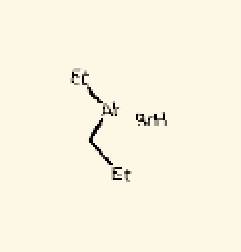 Br.CC[CH2][Al][CH2]C